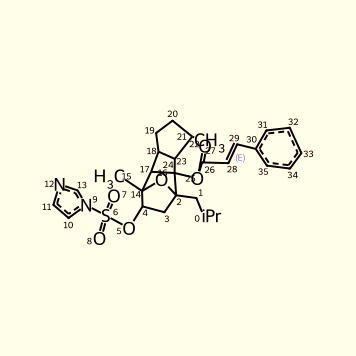 CC(C)CC12CC(OS(=O)(=O)n3ccnc3)C(C)(O1)C1C3CCC(C)C3C12OC(=O)/C=C/c1ccccc1